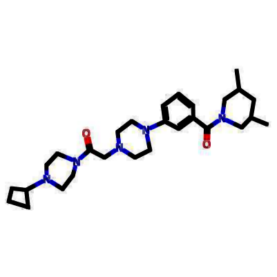 CC1CC(C)CN(C(=O)c2cccc(N3CCN(CC(=O)N4CCN(C5CCC5)CC4)CC3)c2)C1